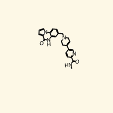 CNC(=O)c1ccc(C2=CCN(Cc3ccc4c(c3)[nH]c(=O)c3cccn34)CC2)cn1